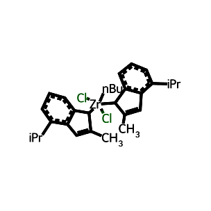 CCC[CH2][Zr]([Cl])([Cl])([CH]1C(C)=Cc2c(C(C)C)cccc21)[CH]1C(C)=Cc2c(C(C)C)cccc21